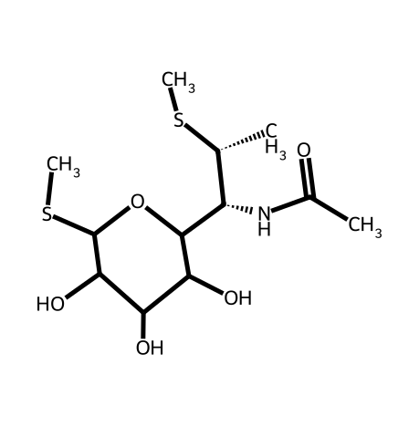 CSC1OC([C@@H](NC(C)=O)[C@@H](C)SC)C(O)C(O)C1O